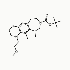 COCCN1CCOc2cc3c(c(C)c21)C(C)CN(C(=O)OC(C)(C)C)CC3